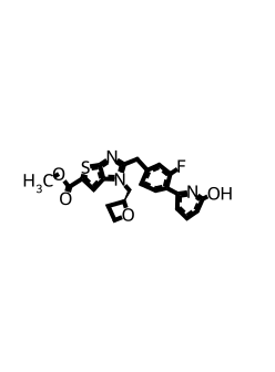 COC(=O)c1cc2c(nc(Cc3ccc(-c4cccc(O)n4)c(F)c3)n2C[C@@H]2CCO2)s1